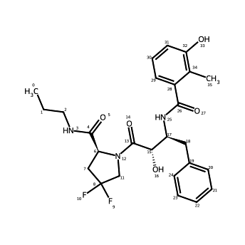 CCCNC(=O)[C@@H]1CC(F)(F)CN1C(=O)[C@@H](O)[C@H](Cc1ccccc1)NC(=O)c1cccc(O)c1C